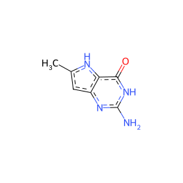 Cc1cc2nc(N)[nH]c(=O)c2[nH]1